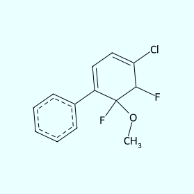 COC1(F)C(c2ccccc2)=CC=C(Cl)C1F